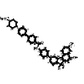 CCCCC[C@H]1CC[C@H](c2ccc(-c3ccc(C(=O)Nc4ccc(-c5ccc6c(c5)-c5c(cc(O)c7cc(C(F)(F)F)ccc57)C6(C)C)cc4)cc3)cc2)CC1